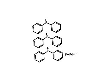 [F][Pd][F].c1ccc(Pc2ccccc2)cc1.c1ccc(Pc2ccccc2)cc1.c1ccc(Pc2ccccc2)cc1